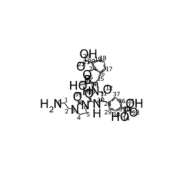 NCCN1CCN(C(=O)NC(C(=O)N[C@H]2Cc3cccc(C(=O)O)c3OB2O)c2ccc(P(=O)(O)O)cc2)C1=O